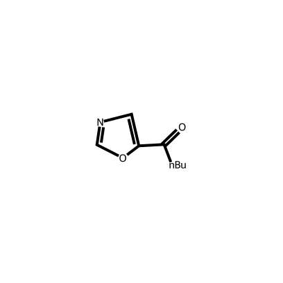 CCCCC(=O)c1cnco1